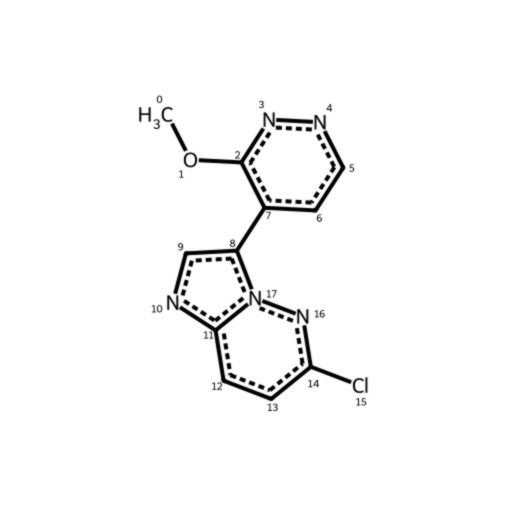 COc1nnccc1-c1cnc2ccc(Cl)nn12